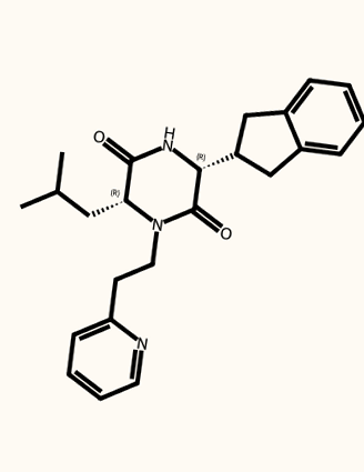 CC(C)C[C@@H]1C(=O)N[C@H](C2Cc3ccccc3C2)C(=O)N1CCc1ccccn1